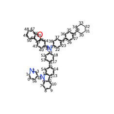 c1cncc(-n2c3ccccc3c3ccc(-c4ccc(N(c5ccc(-c6ccc(C7CCCCC7)cc6)cc5)c5ccc6c(c5)oc5ccccc56)cc4)cc32)c1